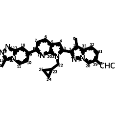 Cc1c(-c2cc3ccc(-c4ccn5c(C)nnc5c4)nc3n2CC2CC2)nn2cc(C=O)ccc12